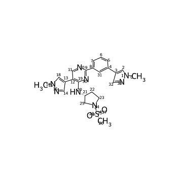 Cn1cc(-c2cccc(-c3ncc(-c4cnn(C)c4)c(N[C@@H]4CCN(S(C)(=O)=O)C4)n3)c2)cn1